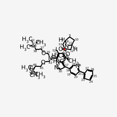 CC(C)(C)OC(=O)N1[C@@H]2CC[C@H]1C[C@H](c1nc3c(-c4ccc(-c5ccccc5)nc4)cnn3c(N(COCC[Si](C)(C)C)COCC[Si](C)(C)C)c1I)C2